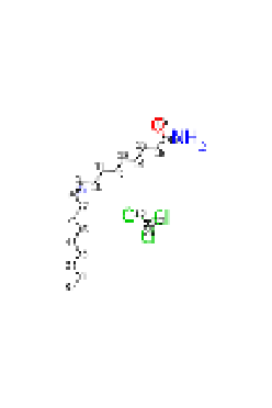 CCCCCCCC/C=C\CCCCCCCC(N)=O.ClC(Cl)Cl